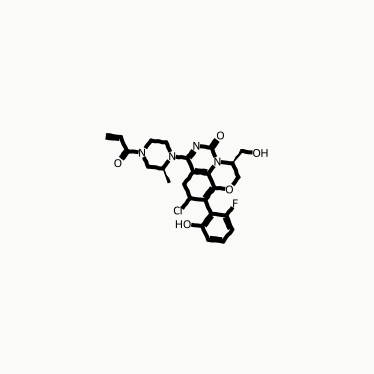 C=CC(=O)N1CCN(c2nc(=O)n3c4c2CC(Cl)C(c2c(O)cccc2F)=C4OC[C@@H]3CO)[C@@H](C)C1